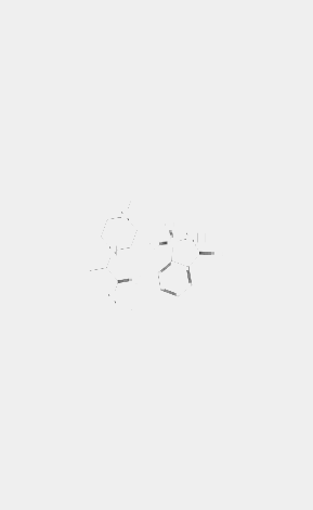 CC(C(N)=O)N1CCN(C)CC1.O=C1NS(=O)(=O)c2ccccc21